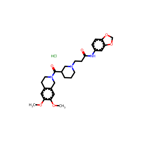 COc1cc2c(cc1OC)CN(C(=O)C1CCCN(CCC(=O)Nc3ccc4c(c3)OCO4)C1)CC2.Cl